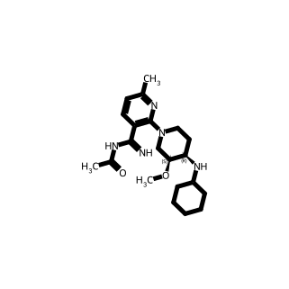 CO[C@H]1CN(c2nc(C)ccc2C(=N)NC(C)=O)CC[C@H]1NC1CCCCC1